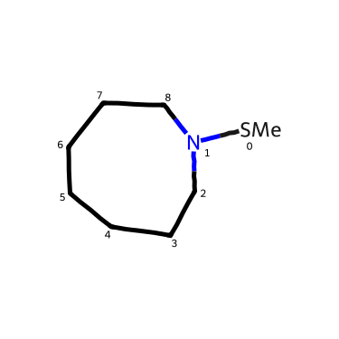 CSN1CCCCCCC1